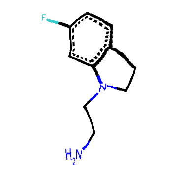 NCCN1CCc2ccc(F)cc21